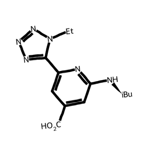 CC[C@H](C)Nc1cc(C(=O)O)cc(-c2nnnn2CC)n1